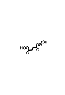 CC(C)(C)OOC(=O)CCC(=O)OO